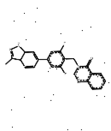 CC1=NNC2C=C(c3cc(F)c(Cn4cnc5ccccc5c4=O)c(F)c3)C=CC12